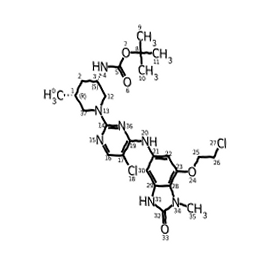 C[C@@H]1C[C@H](NC(=O)OC(C)(C)C)CN(c2ncc(Cl)c(Nc3cc(OCCCl)c4c(c3)[nH]c(=O)n4C)n2)C1